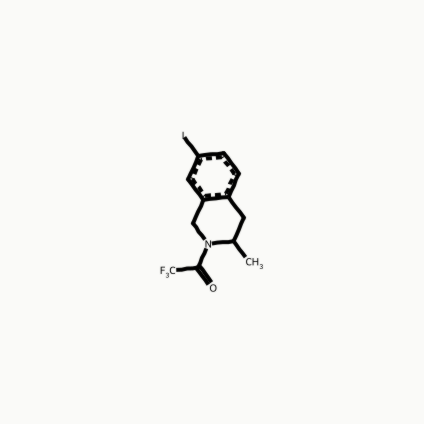 CC1Cc2ccc(I)cc2CN1C(=O)C(F)(F)F